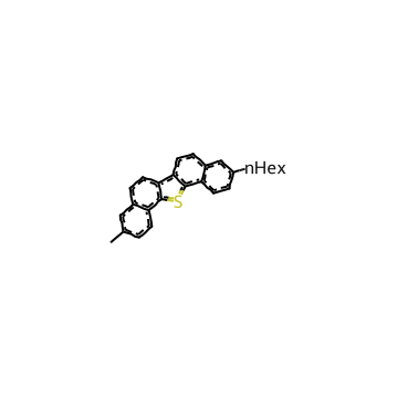 CCCCCCc1ccc2c(ccc3c4ccc5cc(C)ccc5c4sc23)c1